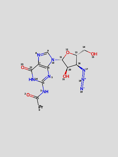 CC(C)C(=O)Nc1nc2c(ncn2[C@@H]2O[C@H](CO)[C@@H](N=[N+]=[N-])[C@H]2O)c(=O)[nH]1